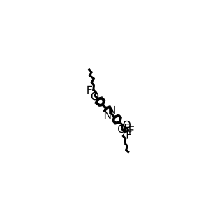 CCCCCCC(F)COc1ccc(-c2cnc(-c3ccc(C(=O)O[C@H](CCCCCC)C(F)(F)F)cc3)nc2)cc1